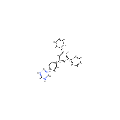 c1ccc(-c2cc(-c3ccccc3)cc(-c3ccccc3)c2)cc1.c1ncncn1